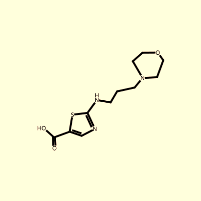 O=C(O)c1cnc(NCCCN2CCOCC2)s1